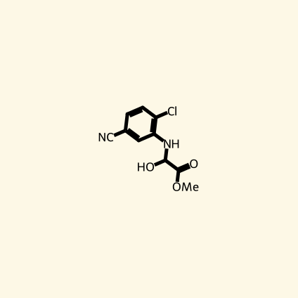 COC(=O)C(O)Nc1cc(C#N)ccc1Cl